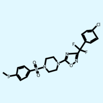 CSc1ccc(S(=O)(=O)N2CCN(c3nc(C(F)(F)c4ccc(Cl)cc4)no3)CC2)cc1